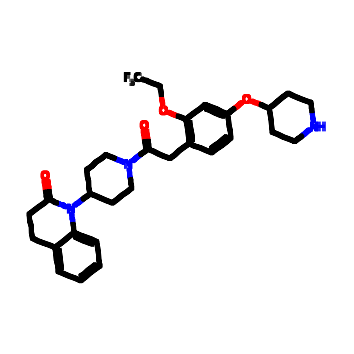 O=C(Cc1ccc(OC2CCNCC2)cc1OCC(F)(F)F)N1CCC(N2C(=O)CCc3ccccc32)CC1